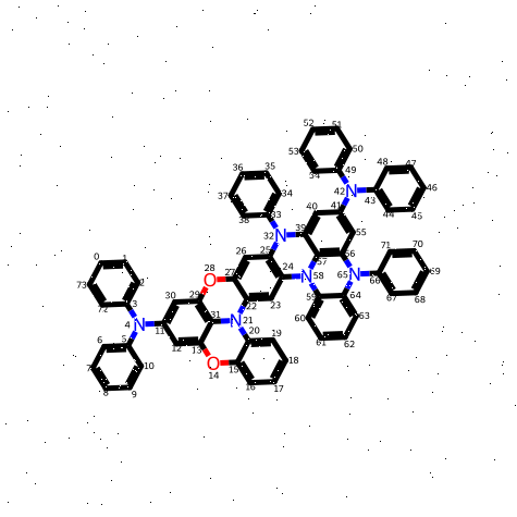 c1ccc(N(c2ccccc2)c2cc3oc4ccccc4n4c5cc6c(cc5oc(c2)c34)n(-c2ccccc2)c2cc(N(c3ccccc3)c3ccccc3)cc3c2n6c2ccccc2n3-c2ccccc2)cc1